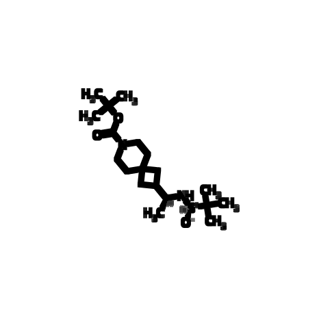 C[C@H](N[S@+]([O-])C(C)(C)C)C1CC2(CCN(C(=O)OC(C)(C)C)CC2)C1